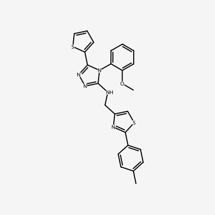 COc1ccccc1-n1c(NCc2csc(-c3ccc(C)cc3)n2)nnc1-c1cccs1